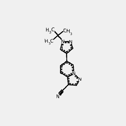 CC(C)(C)n1cc(-c2ccc3c(C#N)cnn3c2)cn1